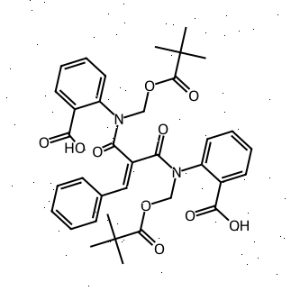 CC(C)(C)C(=O)OCN(C(=O)C(=Cc1ccccc1)C(=O)N(COC(=O)C(C)(C)C)c1ccccc1C(=O)O)c1ccccc1C(=O)O